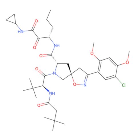 CCC[C@H](NC(=O)[C@@H]1C[C@]2(CC(c3cc(Cl)c(OC)cc3OC)=NO2)CN1C(=O)[C@@H](NC(=O)CC(C)(C)C)C(C)(C)C)C(=O)C(=O)NC1CC1